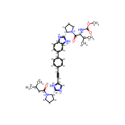 COC(=O)N[C@H](C(=O)N1CCC[C@H]1c1nc2ccc(-c3ccc(C#Cc4cnc([C@@H]5CCCN5C(=O)CC(C)C)[nH]4)cc3)cc2[nH]1)C(C)C